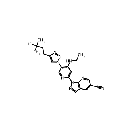 CCNc1cc(-n2ncc3cc(C#N)cnc32)ncc1-n1cc(CCC(C)(C)O)nn1